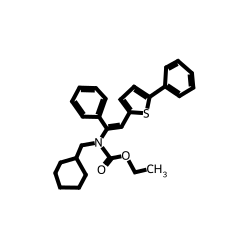 CCOC(=O)N(CC1CCCCC1)C(=Cc1ccc(-c2ccccc2)s1)c1ccccc1